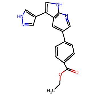 CCOC(=O)c1ccc(-c2cnc3[nH]cc(-c4cn[nH]c4)c3c2)cc1